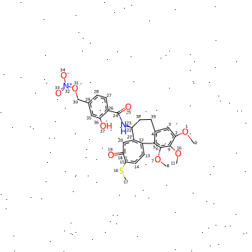 COc1cc2c(c(OC)c1OC)-c1ccc(SC)c(=O)cc1[C@@H](NC(=O)c1ccc(CO[N+](=O)[O-])cc1O)CC2